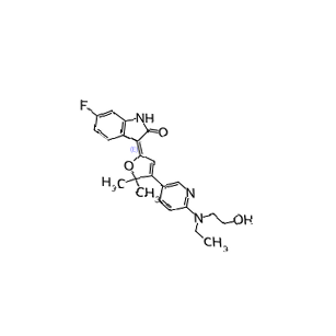 CCN(CCO)c1ccc(C2=C/C(=C3\C(=O)Nc4cc(F)ccc43)OC2(C)C)cn1